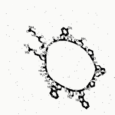 CCCC[C@H]1C(=O)N(C)[C@@H](CCCC)C(=O)N[C@@H](CCCNC(=N)N)C(=O)N[C@H](C(=O)NCC(=O)NCC(N)=O)CSCC(=O)N[C@@H](Cc2ccc(O)cc2)C(=O)N(C)[C@@H](C)C(=O)N[C@@H](CC(N)=O)C(=O)N2CCC[C@H]2C(=O)N[C@@H](Cc2cnc[nH]2)C(=O)N[C@@H](CC(C)C)C(=O)N2CCC[C@H]2C(=O)N[C@@H](Cc2c[nH]c3ccccc23)C(=O)N[C@@H](CO)C(=O)N[C@@H](Cc2c[nH]c3ccccc23)C(=O)N1C